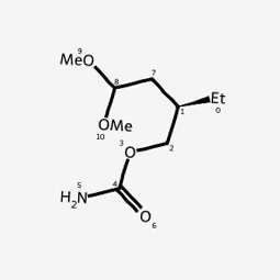 CC[C@@H](COC(N)=O)CC(OC)OC